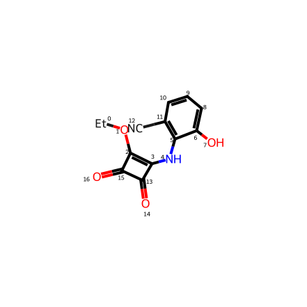 CCOc1c(Nc2c(O)cccc2C#N)c(=O)c1=O